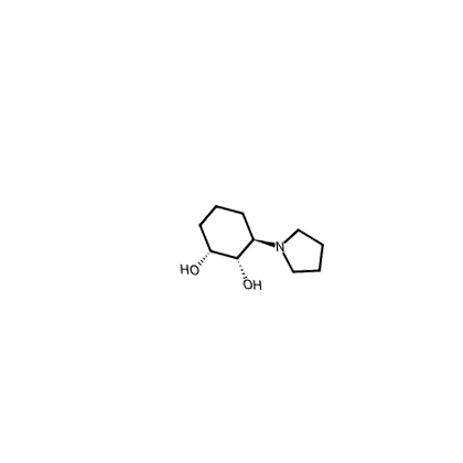 O[C@@H]1[C@H](O)CCC[C@H]1N1CCCC1